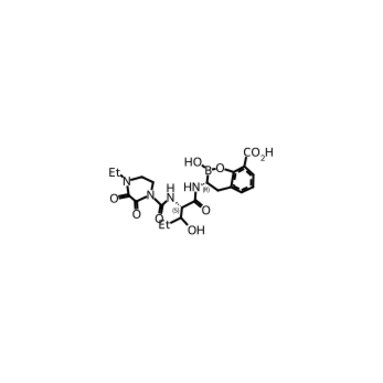 CCC(O)[C@H](NC(=O)N1CCN(CC)C(=O)C1=O)C(=O)N[C@H]1Cc2cccc(C(=O)O)c2OB1O